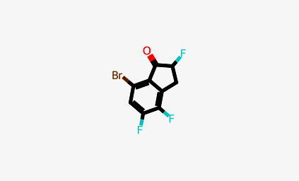 O=C1c2c(Br)cc(F)c(F)c2CC1F